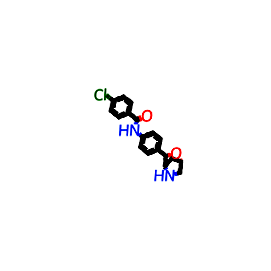 O=C(Nc1ccc(C2OC3CNC2C3)cc1)c1ccc(Cl)cc1